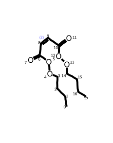 CCCCOOC(=O)/C=C\C(=O)OOCCCC